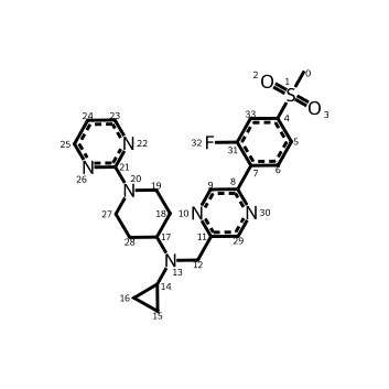 CS(=O)(=O)c1ccc(-c2cnc(CN(C3CC3)C3CCN(c4ncccn4)CC3)cn2)c(F)c1